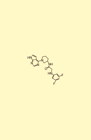 O=C(CNc1cc(F)cc(F)c1)NC1CCCN(c2ncnc3[nH]ccc23)C1